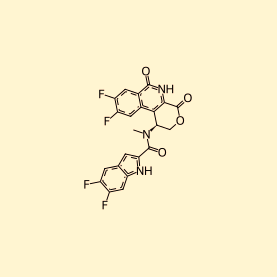 CN(C(=O)c1cc2cc(F)c(F)cc2[nH]1)[C@@H]1COC(=O)c2[nH]c(=O)c3cc(F)c(F)cc3c21